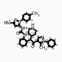 Cc1ccc(-n2nc(C(C)(C)C)cc2NC(=O)Nc2ccccc2C(C(=O)c2cnn(-c3ccccc3)c2C)C2CCNCC2)cc1